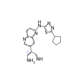 N=C/C(=C\N)c1cnc2ccc(Nc3nnc(C4CCCC4)s3)nc2c1